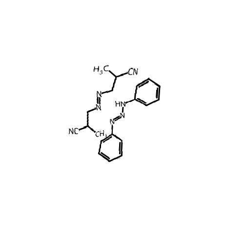 CC(C#N)CN=NCC(C)C#N.c1ccc(N=NNc2ccccc2)cc1